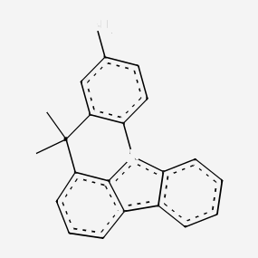 Bc1ccc2c(c1)C(C)(C)c1cccc3c4ccccc4n-2c13